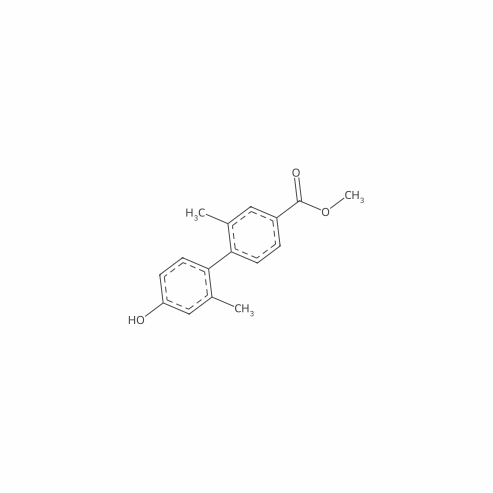 COC(=O)c1ccc(-c2ccc(O)cc2C)c(C)c1